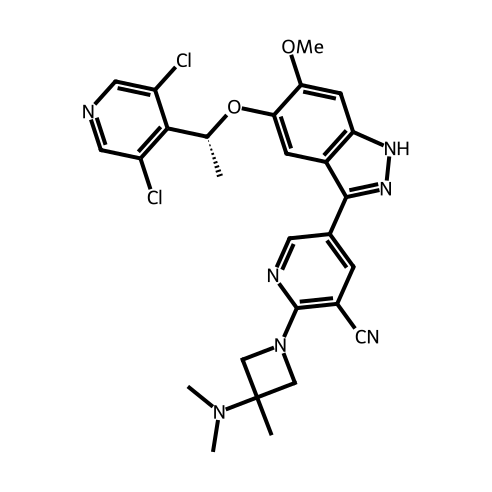 COc1cc2[nH]nc(-c3cnc(N4CC(C)(N(C)C)C4)c(C#N)c3)c2cc1O[C@H](C)c1c(Cl)cncc1Cl